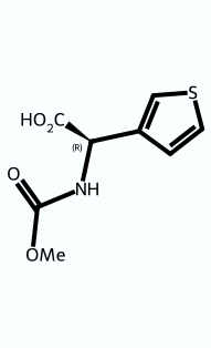 COC(=O)N[C@@H](C(=O)O)c1ccsc1